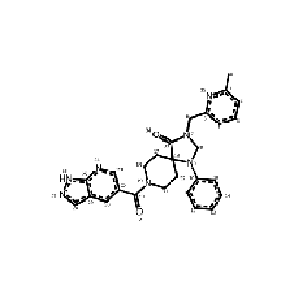 Cc1cccc(CN2CN(c3ccccc3)C3(CCN(C(=O)c4cnc5[nH]ncc5c4)CC3)C2=O)n1